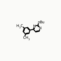 CCCCc1nccc(-c2cc(C)cc(C)c2)n1